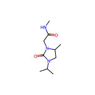 CNC(=O)CN1C(=O)N(C(C)C)CC1C